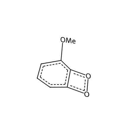 COc1cccc2ooc12